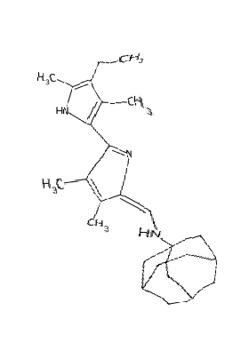 CCc1c(C)[nH]c(C2=N/C(=C/NC34CC5CC(CC(C5)C3)C4)C(C)=C2C)c1C